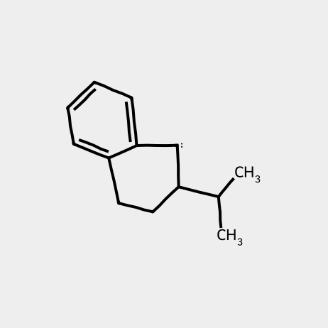 CC(C)C1[C]c2ccccc2CC1